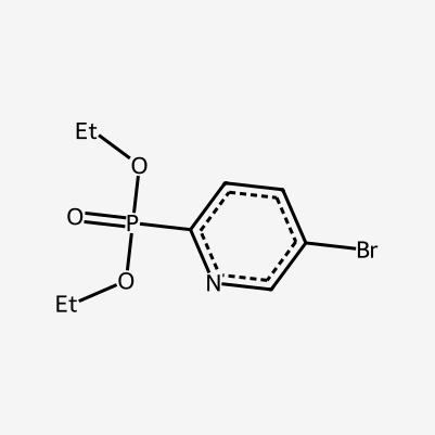 CCOP(=O)(OCC)c1ccc(Br)cn1